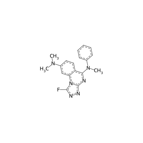 CN(C)c1ccc2c(N(C)c3ccccc3)nc3nnc(F)n3c2c1